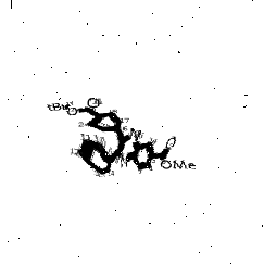 COC(=O)c1ccc2nc(-c3ccccc3)c(-c3ccc(C(=O)OC(C)(C)C)cc3)nc2c1